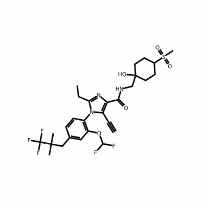 C#Cc1c(C(=O)NCC2(O)CCC(S(C)(=O)=O)CC2)nc(CC)n1-c1ccc(CC(C)(C)C(F)(F)F)cc1OC(F)F